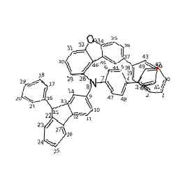 c1ccc(-c2ccc(N(c3ccc4c(c3)C(c3ccccc3)c3ccccc3-4)c3cccc4oc5ccc(-c6ccccc6)cc5c34)cc2)cc1